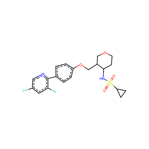 O=S(=O)(NC1CCOCC1COc1ccc(-c2ncc(F)cc2F)cc1)C1CC1